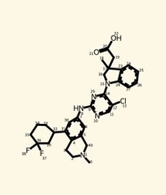 CN1CCc2c(cc(Nc3ncc(Cl)c(N4CC(C)(CC(=O)O)c5ccccc54)n3)cc2C2CCCC(F)(F)C2)C1